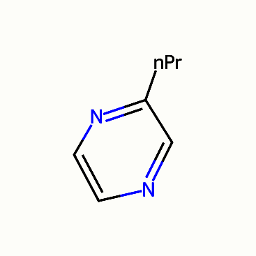 [CH2]CCc1cnccn1